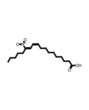 CCCCCC(=C/C=C\CCCCCCCCC(=O)O)[N+](=O)[O-]